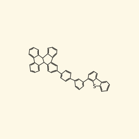 c1cc(-c2ccc(-c3ccc4c(c3)-c3ccccc3C3c5ccccc5-c5ccccc5C43)cc2)cc(-c2cccc3c2sc2ccccc23)c1